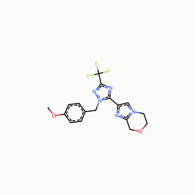 COc1ccc(Cn2nc(C(F)(F)F)nc2-c2cn3c(n2)COCC3)cc1